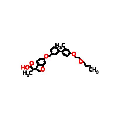 CCCCOCCOc1ccc(-c2cccc(COc3ccc4c(c3)OCC4C(C)C(=O)O)c2)c(C)c1